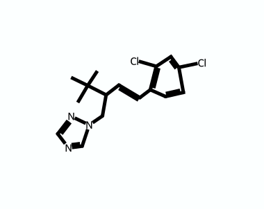 CC(C)(C)C(C=Cc1ccc(Cl)cc1Cl)Cn1cncn1